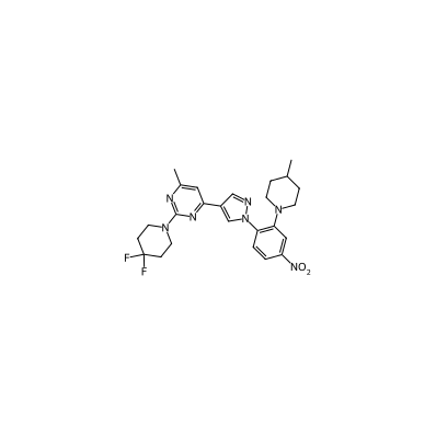 Cc1cc(-c2cnn(-c3ccc([N+](=O)[O-])cc3N3CCC(C)CC3)c2)nc(N2CCC(F)(F)CC2)n1